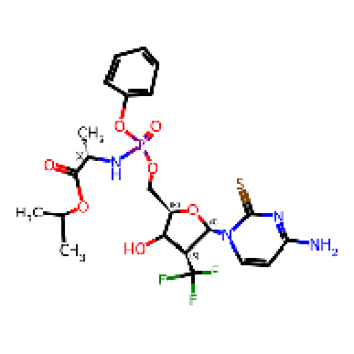 CC(C)OC(=O)[C@H](C)NP(=O)(OC[C@H]1O[C@@H](n2ccc(N)nc2=S)[C@@H](C(F)(F)F)C1O)Oc1ccccc1